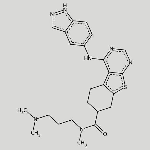 CN(C)CCCN(C)C(=O)C1CCc2c(sc3ncnc(Nc4ccc5[nH]ncc5c4)c23)C1